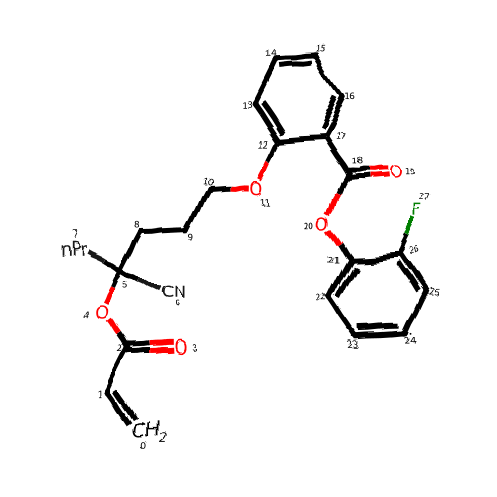 C=CC(=O)OC(C#N)(CCC)CCCOc1ccccc1C(=O)Oc1cc[c]cc1F